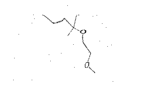 [CH2]C(C)(CCC)OCCOC